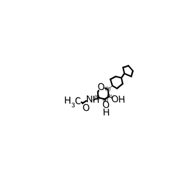 CC(=O)NC[C@H]1CO[C@H](C2CCC(C3CCCC3)CC2)[C@H](O)[C@@H]1O